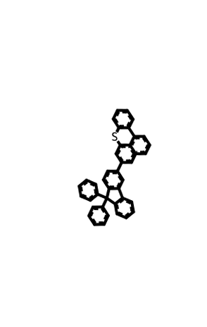 c1ccc(C2(c3ccccc3)c3ccccc3-c3cc(-c4cc5c6c(cccc6c4)-c4ccccc4S5)ccc32)cc1